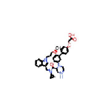 COCCCn1cc(CN(C(=O)C2CNCCN2c2cccc(-c3ccc(OCC(=O)O)cc3)c2)C2CC2)c2ccccc21